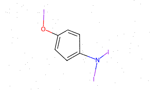 IOc1ccc(N(I)I)cc1